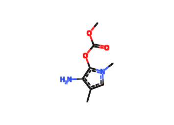 COC(=O)Oc1c(N)c(C)cn1C